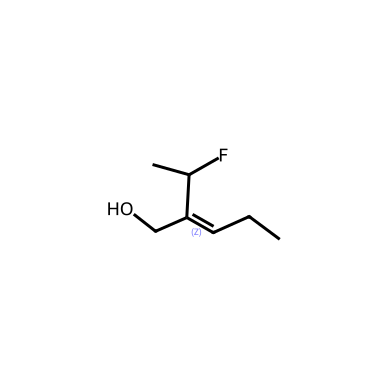 CC/C=C(/CO)C(C)F